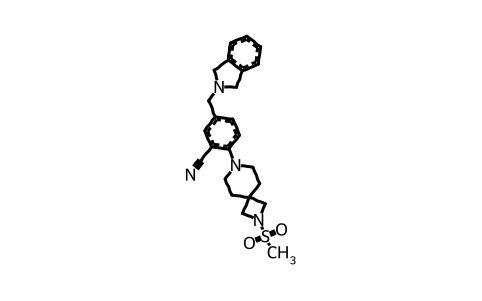 CS(=O)(=O)N1CC2(CCN(c3ccc(CN4Cc5ccccc5C4)cc3C#N)CC2)C1